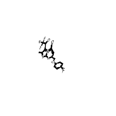 Cc1sc2nc(COc3ccc(F)cc3)cc(=O)n2c1C(=O)C(F)(F)F